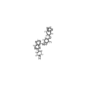 Cc1cc(Nc2ncnc3cnc(C4=CCNCC4)nc23)ccc1Oc1ccn2ncnc2c1